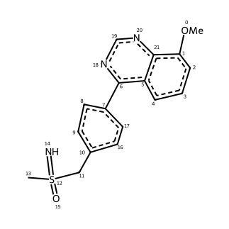 COc1cccc2c(-c3ccc(CS(C)(=N)=O)cc3)ncnc12